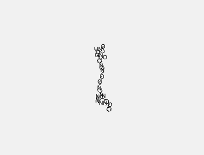 Nc1ncnc2c1c(-c1ccc(Oc3ccccc3)cc1)nn2C1CCN(CCOCCOCCN2CCN(c3ccc4c(c3)C(=O)N(C3CCC(=O)NC3=O)C4=O)CC2)CC1